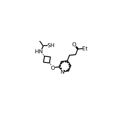 CCC(=O)CCc1ccnc(O[C@H]2C[C@@H](NC(C)S)C2)c1